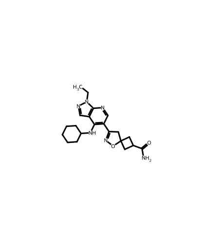 CCn1ncc2c(NC3CCCCC3)c(C3=NOC4(C3)CC(C(N)=O)C4)cnc21